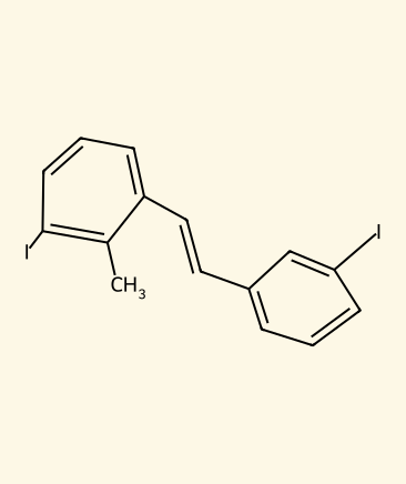 Cc1c(I)cccc1C=Cc1cccc(I)c1